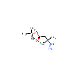 CC(C)(CC(=O)OC(C)(C)C)NN